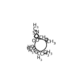 Cc1nc2cc(C3(C)CC4OC4(C)CCCC(C)C(C)C(C)C(=O)C(C)(C)C(O)CC(=O)O3)ccc2s1